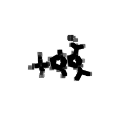 CC(C)n1cc[n+](C(C)C)c1.Cn1cc[n+](C)c1.F[B-](F)(F)F.[Cl-]